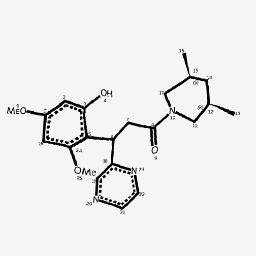 COc1cc(O)c(C(CC(=O)N2C[C@H](C)C[C@H](C)C2)c2cnccn2)c(OC)c1